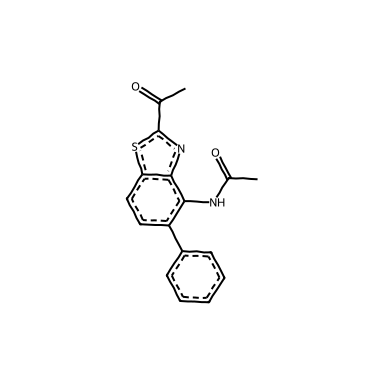 CC(=O)Nc1c(-c2ccccc2)ccc2sc(C(C)=O)nc12